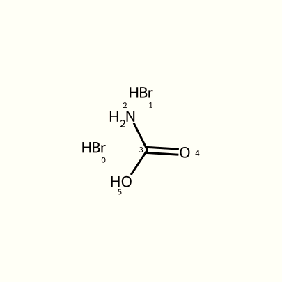 Br.Br.NC(=O)O